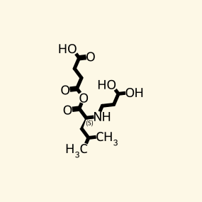 CC(C)C[C@H](NCCC(O)O)C(=O)OC(=O)CCC(=O)O